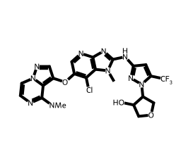 CNc1nccn2ncc(Oc3cnc4nc(Nc5cc(C(F)(F)F)n(C6COCC6O)n5)n(C)c4c3Cl)c12